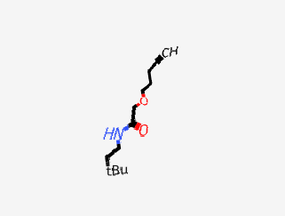 C#CCCCOCC(=O)NCCC(C)(C)C